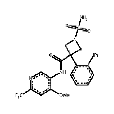 COc1cc(C(F)(F)F)ncc1NC(=O)C1(c2ccccc2C(C)C)CN(S(N)(=O)=O)C1